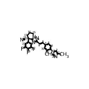 Cc1cn(-c2ccc(/C=C/c3nc4n(n3)CCC[C@]4(C#N)c3cc(F)c(F)c(F)c3)cc2C)cn1